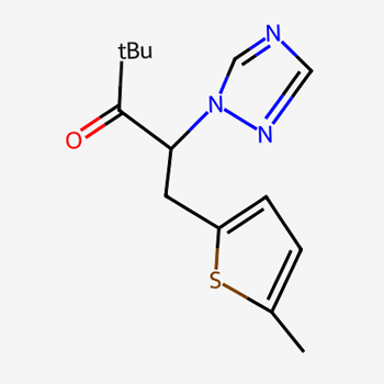 Cc1ccc(CC(C(=O)C(C)(C)C)n2cncn2)s1